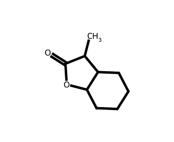 CC1C(=O)OC2CCCCC21